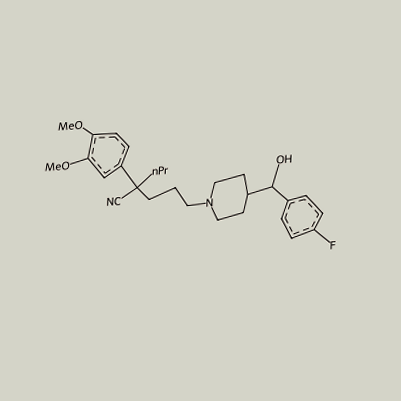 CCCC(C#N)(CCCN1CCC(C(O)c2ccc(F)cc2)CC1)c1ccc(OC)c(OC)c1